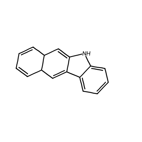 C1=CC2C=c3[nH]c4ccccc4c3=CC2C=C1